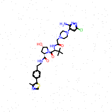 Cc1ncsc1-c1ccc(CCNC(=O)[C@@H]2C[C@H](O)CN2C(=O)[C@@H](NC(=O)CN2CCN(c3cc(Cl)nnc3N)CC2)C(C)(C)C)cc1